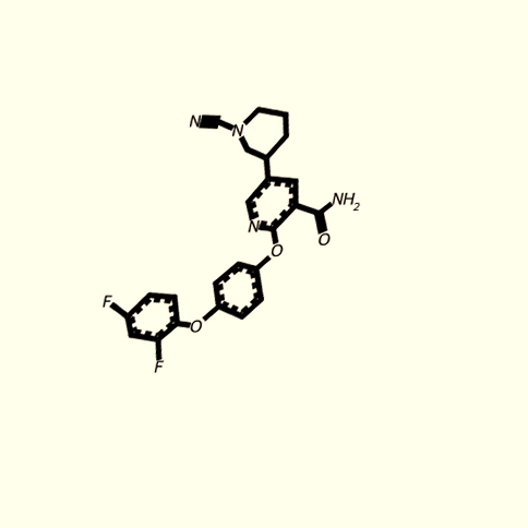 N#CN1CCCC(c2cnc(Oc3ccc(Oc4ccc(F)cc4F)cc3)c(C(N)=O)c2)C1